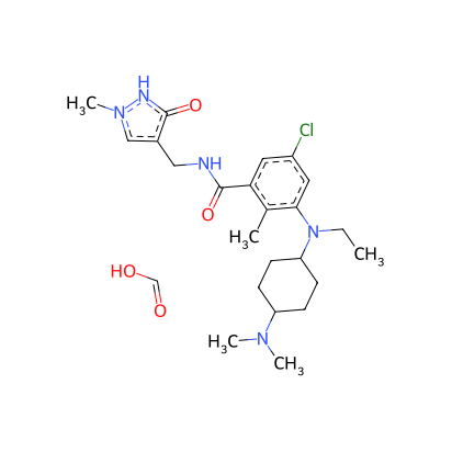 CCN(c1cc(Cl)cc(C(=O)NCc2cn(C)[nH]c2=O)c1C)C1CCC(N(C)C)CC1.O=CO